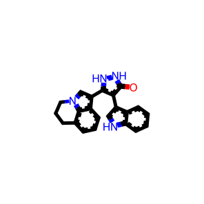 O=c1[nH][nH]c(-c2cn3c4c(cccc24)CCC3)c1-c1c[nH]c2ccccc12